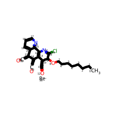 CCCCCCCCOC1C(=C=O)c2c(c3ncccc3c(=C=O)c2=C=O)N=C1Cl.[Re]